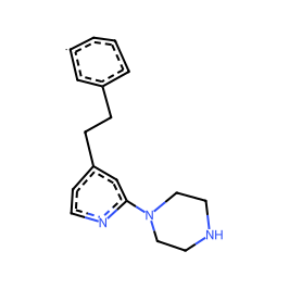 [c]1cccc(CCc2ccnc(N3CCNCC3)c2)c1